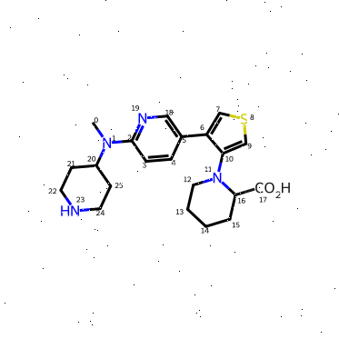 CN(c1ccc(-c2cscc2N2CCCCC2C(=O)O)cn1)C1CCNCC1